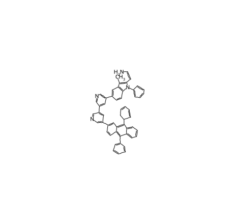 Cc1c(/C=C\N)n(-c2ccccc2)c2ccc(-c3cncc(-c4cncc(-c5ccc6c(-c7ccccc7)c7ccccc7c(C7C=CC=CC7)c6c5)c4)c3)cc12